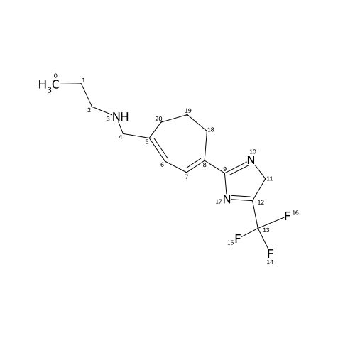 CCCNCC1=CC=C(C2=NCC(C(F)(F)F)=N2)CCC1